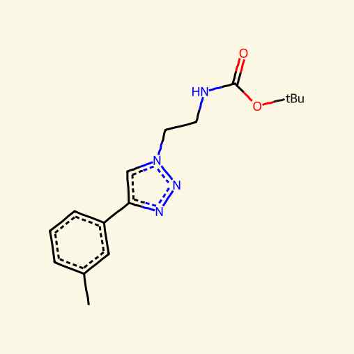 Cc1cccc(-c2cn(CCNC(=O)OC(C)(C)C)nn2)c1